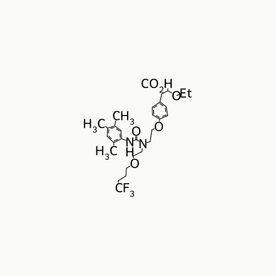 CCOC(Cc1ccc(OCCN(CCOCCCC(F)(F)F)C(=O)Nc2cc(C)c(C)cc2C)cc1)C(=O)O